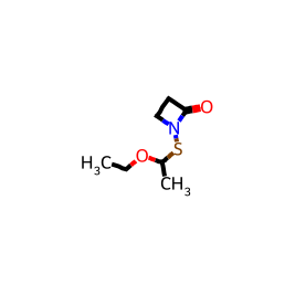 CCOC(C)SN1CCC1=O